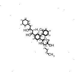 CSCC[C@H](NC(=O)c1ccc(C(O)CC(O)CC2CCCCC2)cc1-c1ccccc1C)C(=O)O